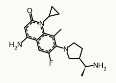 Cc1c(N2CCC([C@H](C)N)C2)c(F)cc2c(N)cc(=O)n(C3CC3)c12